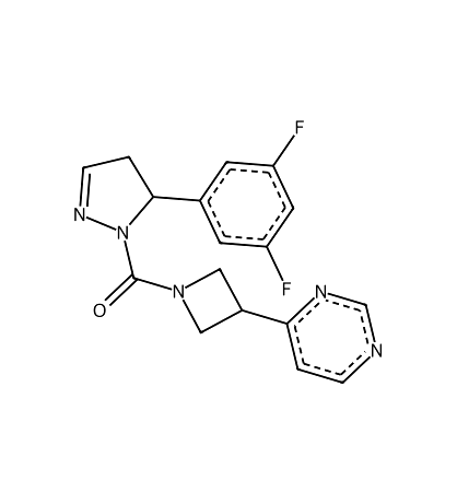 O=C(N1CC(c2ccncn2)C1)N1N=CCC1c1cc(F)cc(F)c1